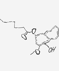 CCCCCC(=O)Oc1cc(OC)c(O)c2ccccc12